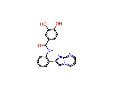 O=C(Nc1ccccc1-c1cn2cccnc2n1)c1ccc(O)c(O)c1